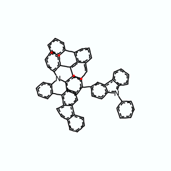 C1=c2cccc(-c3ccccc3)c2=C(c2ccccc2N(c2ccc(-c3ccc4c(c3)c3ccccc3n4-c3ccccc3)cc2)c2ccccc2-c2cccc3c2ccc2ccccc23)CC1